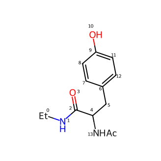 CCNC(=O)C(Cc1ccc(O)cc1)NC(C)=O